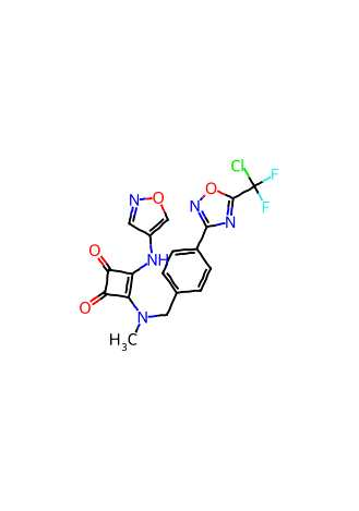 CN(Cc1ccc(-c2noc(C(F)(F)Cl)n2)cc1)c1c(Nc2cnoc2)c(=O)c1=O